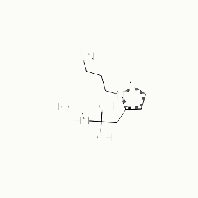 CC(C)(Cc1ccnn1CCCC#N)NC(=O)O